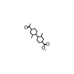 COC(=O)C1CCC(C2CCC(C(C)=O)CC2C)C(C)C1